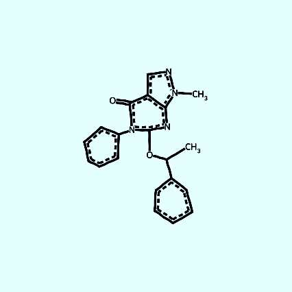 CC(Oc1nc2c(cnn2C)c(=O)n1-c1ccccc1)c1ccccc1